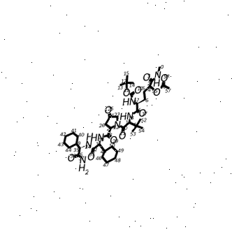 CNC(=O)C(CC[C@H](NC(=O)OC(C)(C)C)C(=O)N[C@H](C(=O)N1CC(=O)CC1C(=O)N[C@H](C(=O)N[C@H](C(N)=O)C1CCCCC1)C1CCCCC1)C(C)(C)C)OC(C)=O